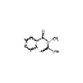 COC(=O)[C@@H](C)C(=O)c1ccccc1